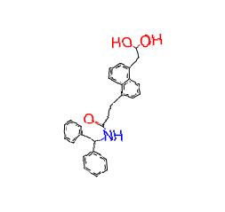 O=C(CCc1cccc2c(CC(O)O)cccc12)NC(c1ccccc1)c1ccccc1